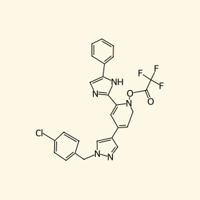 O=C(ON1CC=C(c2cnn(Cc3ccc(Cl)cc3)c2)C=C1c1ncc(-c2ccccc2)[nH]1)C(F)(F)F